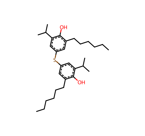 CCCCCCc1cc(Sc2cc(CCCCCC)c(O)c(C(C)C)c2)cc(C(C)C)c1O